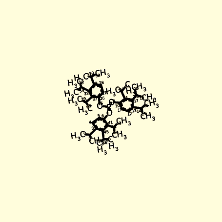 CC(C)c1ccc(OP(Oc2ccc(C(C)C)c(C(C)C)c2C(C)C)Oc2ccc(C(C)C)c(C(C)C)c2C(C)C)c(C(C)C)c1C(C)C